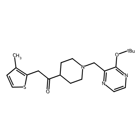 Cc1ccsc1CC(=O)C1CCN(Cc2nccnc2OC(C)(C)C)CC1